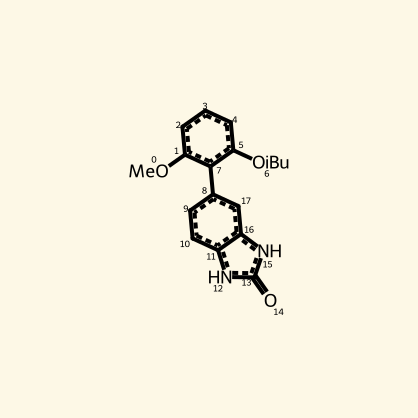 COc1cccc(OCC(C)C)c1-c1ccc2[nH]c(=O)[nH]c2c1